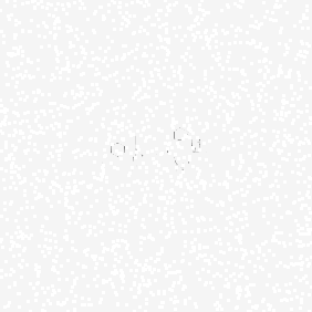 COC(=O)C1=C(C)NC(C)=C(C(=O)OCCNC(=O)c2ccccc2O)C1c1ccccc1OC